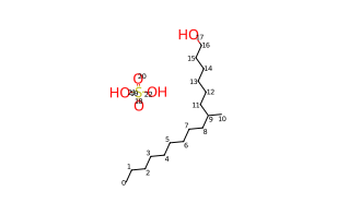 CCCCCCCCCC(C)CCCCCCO.O=S(=O)(O)O